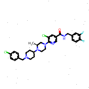 C[C@H]1CN(c2ncc(C(=O)NCc3ccc(F)c(F)c3)cc2Cl)CCN1C1CCN(Cc2ccc(Cl)cc2)CC1